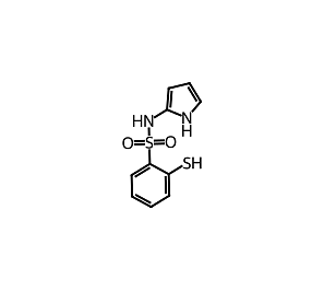 O=S(=O)(Nc1ccc[nH]1)c1ccccc1S